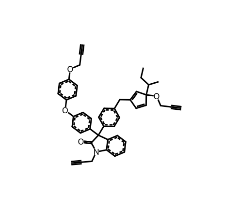 C#CCOc1ccc(Oc2ccc(C3(c4ccc(CC5=CC(OCC#C)(C(C)CC)C=C5)cc4)C(=O)N(CC#C)c4ccccc43)cc2)cc1